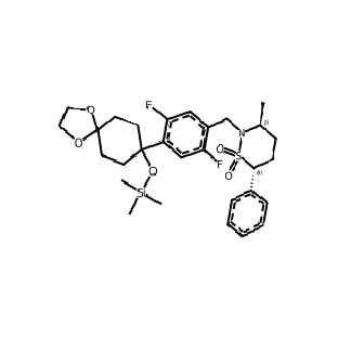 C[C@H]1CC[C@H](c2ccccc2)S(=O)(=O)N1Cc1cc(F)c(C2(O[Si](C)(C)C)CCC3(CC2)OCCO3)cc1F